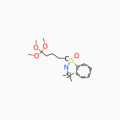 COC(CCCC[S@@](=O)(=N[Si](C)(C)C)c1ccccc1)(OC)OC